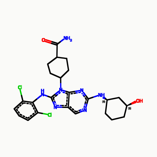 NC(=O)C1CCC(n2c(Nc3c(Cl)cccc3Cl)nc3cnc(N[C@@H]4CCC[C@H](O)C4)nc32)CC1